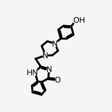 O=c1nc(CN2CCN(c3ccc(O)cc3)CC2)[nH]c2ccccc12